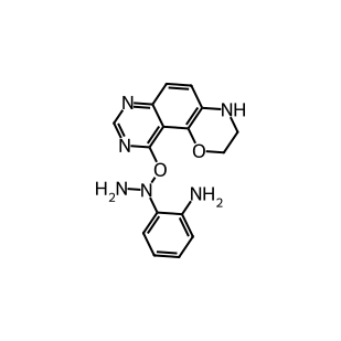 Nc1ccccc1N(N)Oc1ncnc2ccc3c(c12)OCCN3